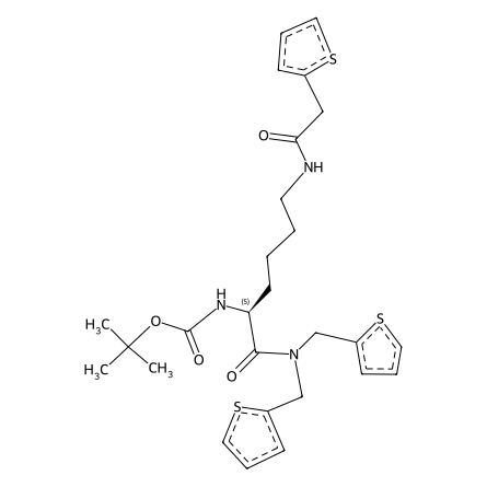 CC(C)(C)OC(=O)N[C@@H](CCCCNC(=O)Cc1cccs1)C(=O)N(Cc1cccs1)Cc1cccs1